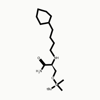 CC(C)(C)[Si](C)(C)OC[C@H](NCCCCC1CCCCC1)C(N)=O